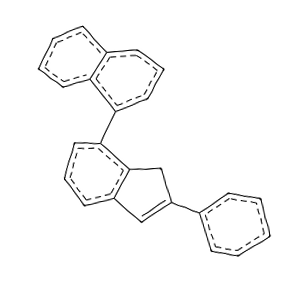 C1=C(c2ccccc2)Cc2c1cccc2-c1cccc2ccccc12